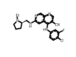 CCN1CCC[C@@H]1CNc1cc2c(Nc3ccc(Cl)c(F)c3)c(C#N)cnc2cn1